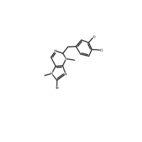 CN1c2nc(Br)n(C)c2C=NC1Cc1ccc(Cl)c(Cl)c1